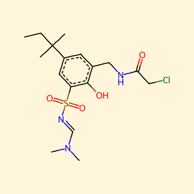 CCC(C)(C)c1cc(CNC(=O)CCl)c(O)c(S(=O)(=O)/N=C/N(C)C)c1